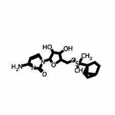 C[Si](C)(OCC1OC(n2ccc(N)nc2=O)C(O)C1O)C12CCC(CC1)C2